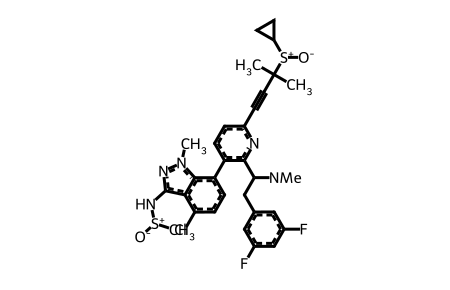 CNC(Cc1cc(F)cc(F)c1)c1nc(C#CC(C)(C)[S+]([O-])C2CC2)ccc1-c1ccc(Cl)c2c(N[S+](C)[O-])nn(C)c12